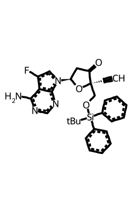 C#C[C@]1(CO[Si](c2ccccc2)(c2ccccc2)C(C)(C)C)O[C@@H](n2cc(F)c3c(N)ncnc32)CC1=O